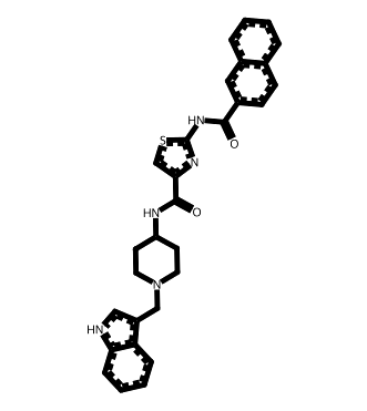 O=C(Nc1nc(C(=O)NC2CCN(Cc3c[nH]c4ccccc34)CC2)cs1)c1ccc2ccccc2c1